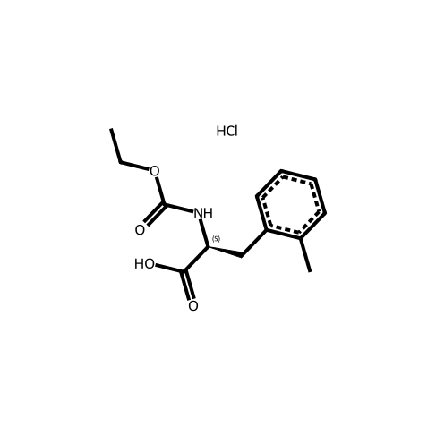 CCOC(=O)N[C@@H](Cc1ccccc1C)C(=O)O.Cl